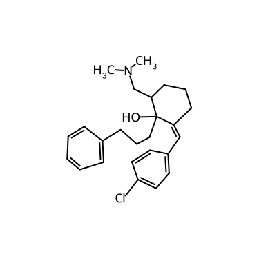 CN(C)CC1CCCC(=Cc2ccc(Cl)cc2)C1(O)CCCc1ccccc1